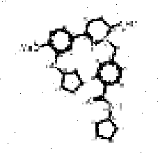 COc1ccc(C2=NN(Cc3ccc(C(=O)NC4CCCC4)cc3)C(C=O)CC2)cc1OC1CCCC1